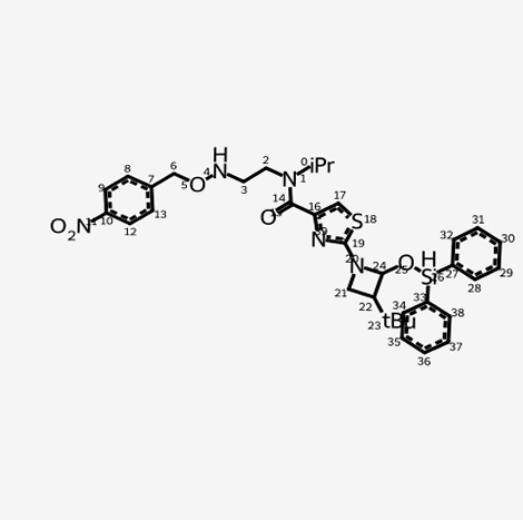 CC(C)N(CCNOCc1ccc([N+](=O)[O-])cc1)C(=O)c1csc(N2CC(C(C)(C)C)C2O[SiH](c2ccccc2)c2ccccc2)n1